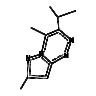 Cc1cc2nnc(C(C)C)c(C)n2n1